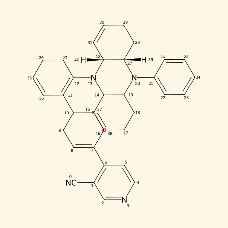 N#Cc1cnccc1C1=CCC(C2=C(N3C4C=CCCC4N(c4ccccc4)[C@H]4CCC=C[C@H]43)CCC=C2)CC1